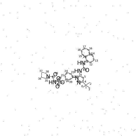 CC(C)(C)c1cc(NC(=O)Nc2cccc3ccccc23)n(-c2cccc(OS(=O)(=O)NC(=O)N3CCCC3)c2)n1